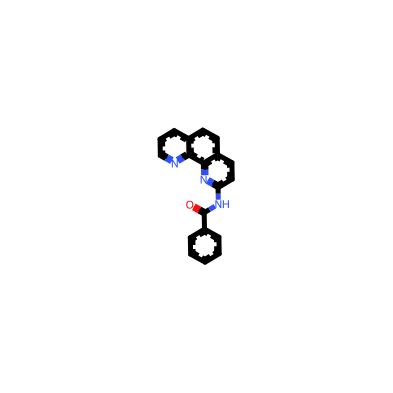 O=C(Nc1ccc2ccc3cccnc3c2n1)c1ccccc1